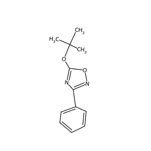 CC(C)(C)Oc1nc(-c2ccccc2)no1